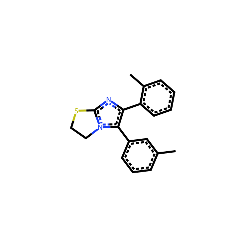 Cc1cccc(-c2c(-c3ccccc3C)nc3n2CCS3)c1